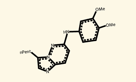 CCCCCc1cnc2ccc(Nc3ccc(OC)c(OC)c3)nn12